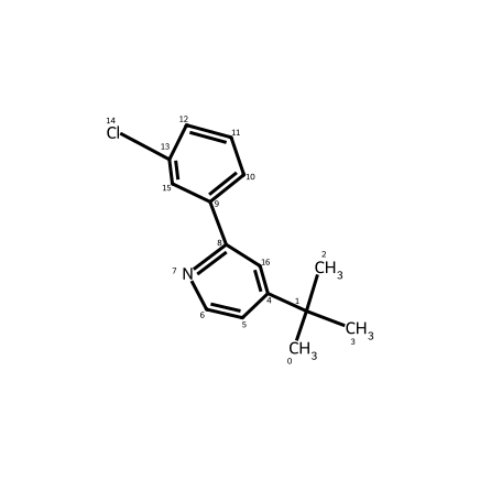 CC(C)(C)c1ccnc(-c2cccc(Cl)c2)c1